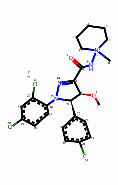 CO[C@@H]1C(C(=O)N[N+]2(C)CCCCC2)=NN(c2ccc(Cl)cc2Cl)[C@@H]1c1ccc(Cl)cc1.[I-]